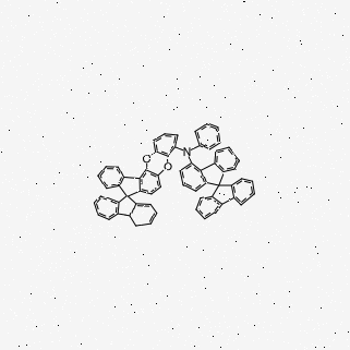 C1=CCC2C(=C1)C1(c3ccccc3-c3c1ccc1c3Oc3cccc(N(c4ccccc4)c4cccc5c4-c4ccccc4C54c5ccccc5-c5ccccc54)c3O1)c1ccccc12